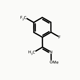 CO/N=C(\C)c1cc(C(F)(F)F)ccc1F